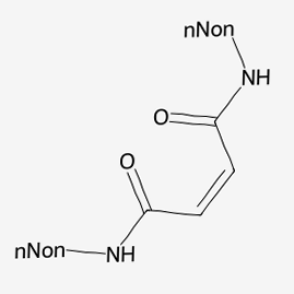 CCCCCCCCCNC(=O)/C=C\C(=O)NCCCCCCCCC